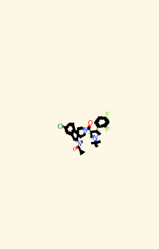 CN(C(=O)C1CC1)[C@@H]1Cc2cc(Cl)ccc2C12CCN(C(=O)[C@@H]1CN(C(C)(C)C)C[C@H]1c1ccc(F)cc1F)CC2